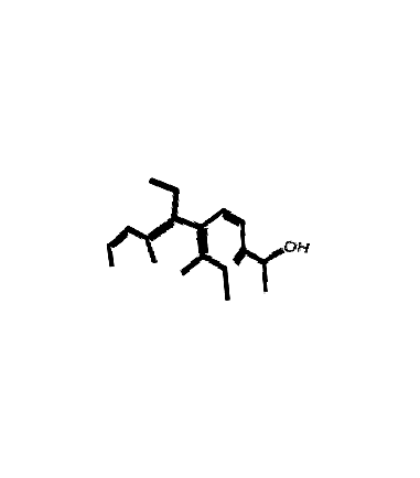 C=C(\C=C/C(=C(/C)CC)C(/CC)=C(C)/C=C\C)C(C)O